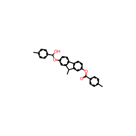 Cc1ccc(C(=O)Oc2ccc3c(c2)C(C)c2cc(OC(O)c4ccc(C)cc4)ccc2-3)cc1